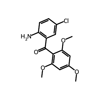 COc1cc(OC)c(C(=O)c2cc(Cl)ccc2N)c(OC)c1